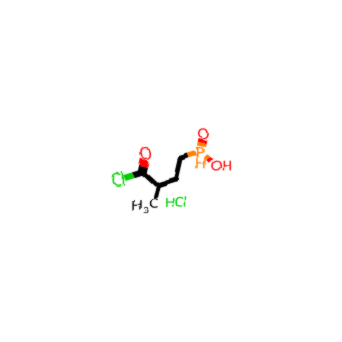 CC(CC[PH](=O)O)C(=O)Cl.Cl